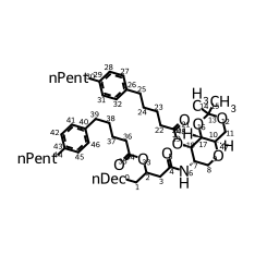 CCCCCCCCCCCC(CC(=O)N[C@H]1CO[C@@H]2COC(C)(C)O[C@H]2[C@@H]1OC(=O)CCCCc1ccc(CCCCC)cc1)OC(=O)CCCCc1ccc(CCCCC)cc1